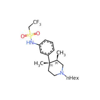 CCCCCCN1CC[C@](C)(c2cccc(NS(=O)(=O)CC(F)(F)F)c2)[C@@H](C)C1